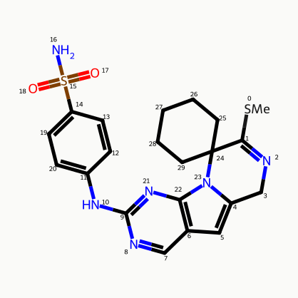 CSC1=NCc2cc3cnc(Nc4ccc(S(N)(=O)=O)cc4)nc3n2C12CCCCC2